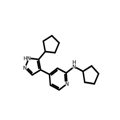 c1cc(-c2cn[nH]c2C2CCCC2)cc(NC2CCCC2)n1